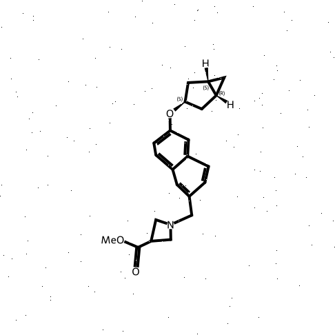 COC(=O)C1CN(Cc2ccc3cc(O[C@H]4C[C@@H]5C[C@@H]5C4)ccc3c2)C1